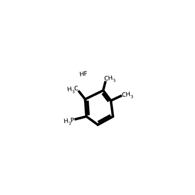 Cc1ccc(P)c(C)c1C.F